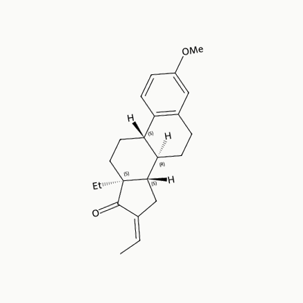 CC=C1C[C@H]2[C@@H]3CCc4cc(OC)ccc4[C@H]3CC[C@]2(CC)C1=O